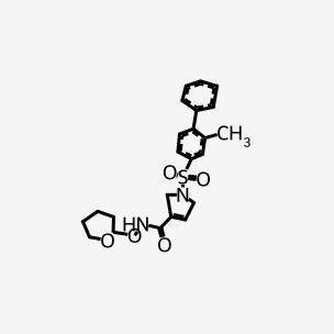 Cc1cc(S(=O)(=O)N2CC=C(C(=O)NOC3CCCCO3)C2)ccc1-c1ccccc1